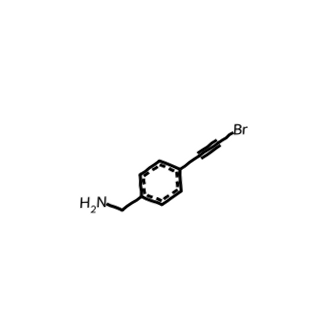 NCc1ccc(C#CBr)cc1